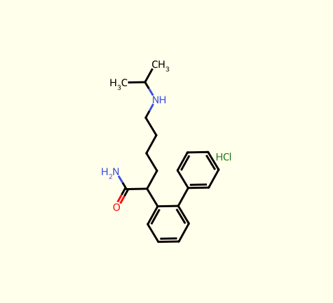 CC(C)NCCCCC(C(N)=O)c1ccccc1-c1ccccc1.Cl